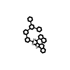 c1ccc(-c2cc(-c3ccccc3)cc(-c3cccc(-c4cccc(-c5nc(-c6cccc7ccccc67)c6c(n5)sc5c7ccccc7ccc56)c4)c3)c2)cc1